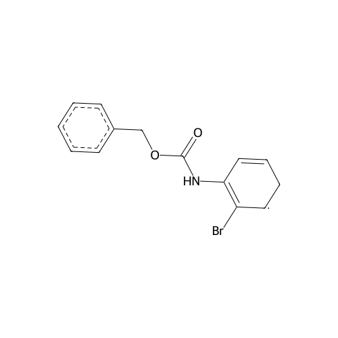 O=C(NC1=C(Br)[CH]CC=C1)OCc1ccccc1